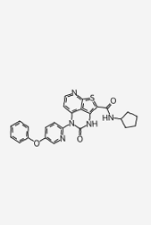 O=C(NC1CCCC1)c1sc2nccc3c2c1NC(=O)N3c1ccc(Oc2ccccc2)cn1